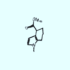 COC(=O)C1CCCc2c1ccn2C